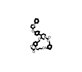 COCCCN1C(=O)COc2ccc(COC3CN(C(=O)OCc4ccccc4)CCC3c3ccc(O[C@H]4CCN(c5ccccc5)C4)cc3)cc21